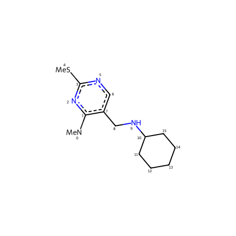 CNc1nc(SC)ncc1CNC1CCCCC1